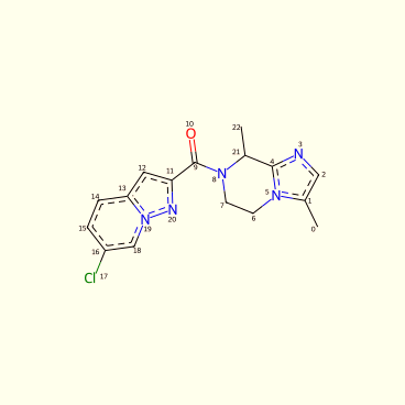 Cc1cnc2n1CCN(C(=O)c1cc3ccc(Cl)cn3n1)C2C